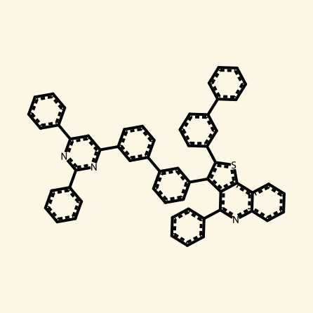 c1ccc(-c2cccc(-c3sc4c(c(-c5ccccc5)nc5ccccc54)c3-c3cccc(-c4cccc(-c5cc(-c6ccccc6)nc(-c6ccccc6)n5)c4)c3)c2)cc1